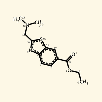 CCOC(=O)c1ccc2nc(CN(C)C)sc2c1